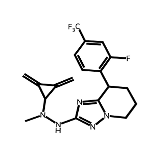 C=C1C(=C)C1N(C)Nc1nc2n(n1)CCCC2c1ccc(C(F)(F)F)cc1F